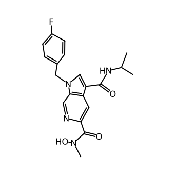 CC(C)NC(=O)c1cn(Cc2ccc(F)cc2)c2cnc(C(=O)N(C)O)cc12